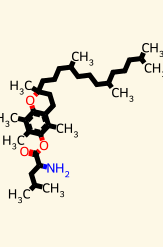 Cc1c(C)c2c(c(C)c1OC(=O)C(N)CC(C)C)CCC(C)(CCCC(C)CCCC(C)CCCC(C)C)O2